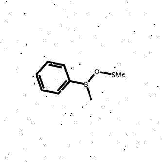 CSOB(C)c1ccccc1